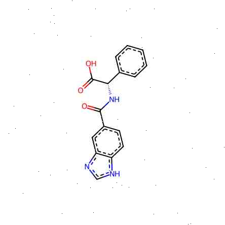 O=C(N[C@H](C(=O)O)c1ccccc1)c1ccc2[nH]cnc2c1